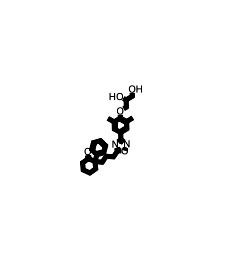 Cc1cc(-c2noc(CCCC3(c4ccccc4)CCCCC3=O)n2)cc(C)c1OCC(O)CO